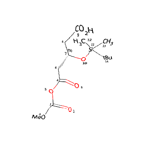 COC(=O)OC(=O)C[C@H](CC(=O)O)O[Si](C)(C)C(C)(C)C